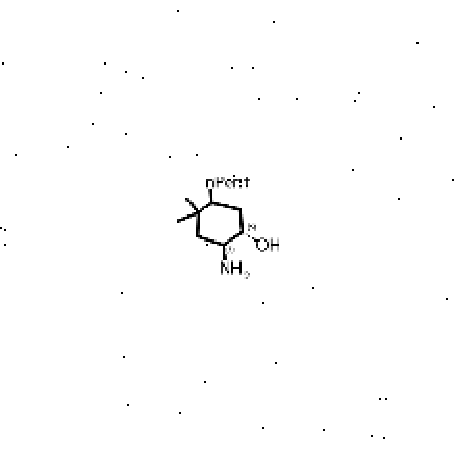 CCCCCC1C[C@H](O)[C@@H](N)CC1(C)C